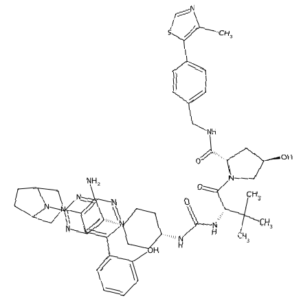 Cc1ncsc1-c1ccc(CNC(=O)[C@@H]2C[C@@H](O)CN2C(=O)[C@@H](NC(=O)N[C@H]2CC[C@@H](c3cnc(N4C5CCC4CN(c4cc(-c6ccccc6O)nnc4N)C5)nc3)CC2)C(C)(C)C)cc1